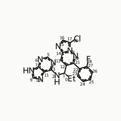 CC[C@@H](Nc1ncnc2[nH]cnc12)c1cc2ncc(Cl)n2nc1-c1ccccc1F